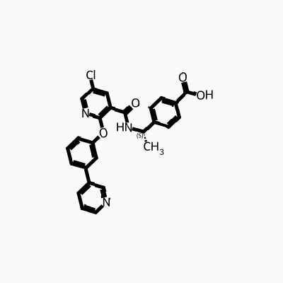 C[C@H](NC(=O)c1cc(Cl)cnc1Oc1cccc(-c2cccnc2)c1)c1ccc(C(=O)O)cc1